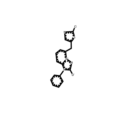 [O-]c1n[n+]2c(Cc3cnc(Cl)s3)cccc2n1-c1ccccc1